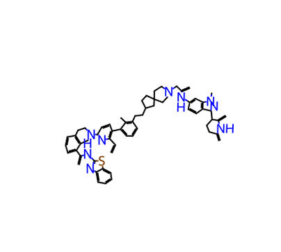 C=Cc1nc(N2CCc3cccc(C(=C)Nc4nc5ccccc5s4)c3C2)ccc1-c1cccc(CCC2CCC3(CCN(CC(=C)Nc4ccc5c(C6CCC(=C)NC6=C)nn(C)c5c4)CC3)C2)c1C